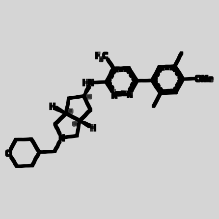 COc1cc(C)c(-c2cc(C(F)(F)F)c(N[C@H]3C[C@@H]4CN(CC5CCOCC5)C[C@@H]4C3)nn2)cc1C